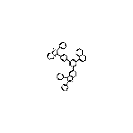 c1ccc(-c2nc3ccccn3c2-c2ccc(-c3cc(-c4ccc5nc(-c6ccccc6)n(-c6ccccc6)c5c4)cc(-c4cccc5ccccc45)c3)cc2)cc1